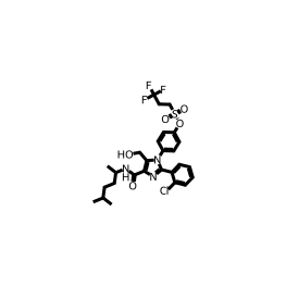 CC(C)CCC(C)NC(=O)c1nc(-c2ccccc2Cl)n(-c2ccc(OS(=O)(=O)CCC(F)(F)F)cc2)c1CO